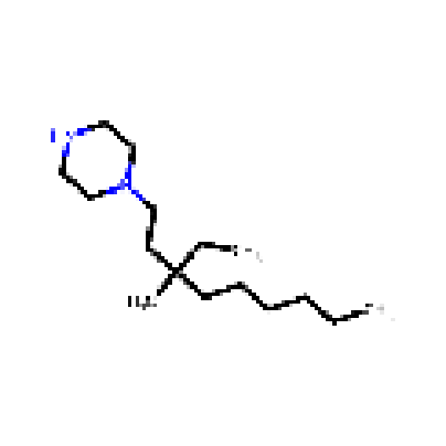 CCCCCCC(C)(CC)CCN1CCNCC1